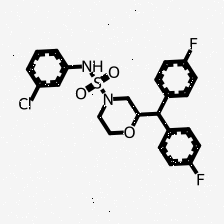 O=S(=O)(Nc1cccc(Cl)c1)N1CCOC(C(c2ccc(F)cc2)c2ccc(F)cc2)C1